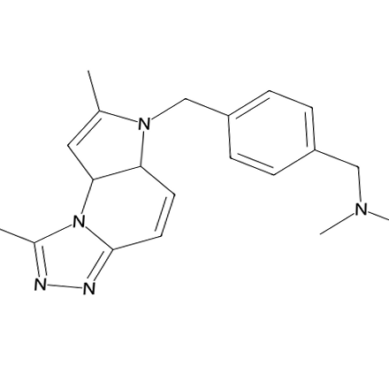 CC1=CC2C(C=Cc3nnc(C)n32)N1Cc1ccc(CN(C)C)cc1